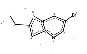 CCc1cc2ncc(Br)cn2n1